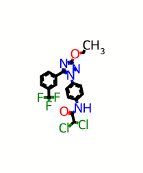 CCOc1nc(-c2cccc(C(F)(F)F)c2)n(-c2ccc(NC(=O)C(Cl)Cl)cc2)n1